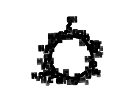 C/C=C/C[C@@H](C)[C@@H](O)[C@H]1C(=O)N[C@@H](CC)C(=O)N(C)CC(=O)N(C)[C@@H](CC(C)C)C(=O)N[C@@H](C(C)C)C(=O)N(C)[C@@H](CC(C)C)C(=O)N[C@@H](C)C(=O)N[C@H](COCCO)C(=O)N(C)[C@@H](CC(C)C)C(=O)N(C)[C@@H](CC(C)C)C(=O)N(C)[C@@H](C(C)C)C(=O)N1C